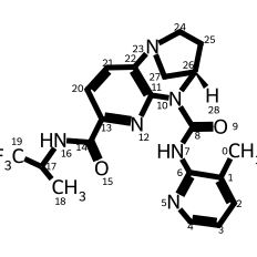 Cc1cccnc1NC(=O)N1c2nc(C(=O)NC(C)C(F)(F)F)ccc2N2CC[C@H]1C2